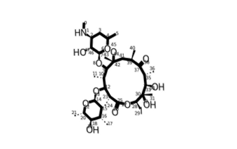 CN[C@H]1CC(C)O[C@@H](OC2[C@@H](C)C(O[C@H]3C[C@H](C)[C@@H](O)[C@H](C)O3)[C@@H](C)C(=O)O[C@H](I)[C@@](C)(O)[C@H](O)[C@@H](C)C(=O)[C@H](C)C[C@@]2(C)OC)[C@@H]1O